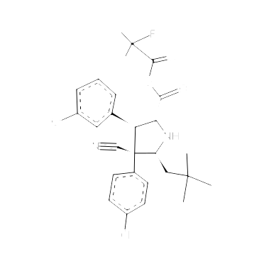 CC(C)(C)C[C@@H]1N[C@@H](C(=O)OC(=O)C(F)(F)F)[C@H](c2cccc(Cl)c2)[C@@]1(C#N)c1ccc(Cl)cc1